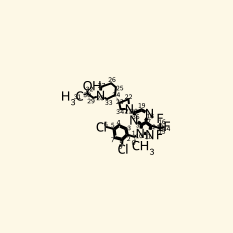 C[C@H](c1ccc(Cl)cc1Cl)n1nc(C(F)(F)F)c2ncc(N3CC([C@H]4CCCN(C[C@@H](C)O)C4)C3)nc21